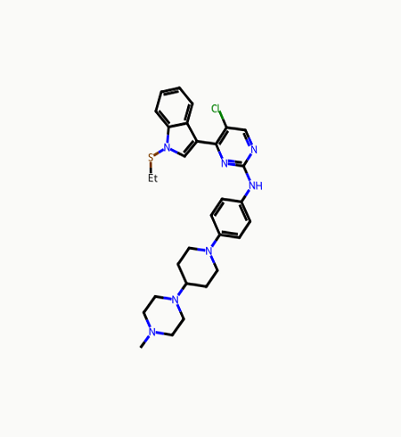 CCSn1cc(-c2nc(Nc3ccc(N4CCC(N5CCN(C)CC5)CC4)cc3)ncc2Cl)c2ccccc21